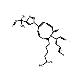 C=C/C(=C\C=C\F)n1c(CCCCC(O)O)nccc(-n2cc(C(C)(C)N=O)nn2)cccc1=O